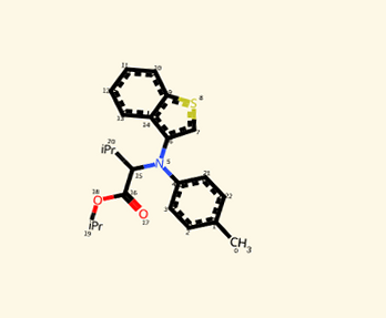 Cc1ccc(N(c2csc3ccccc23)C(C(=O)OC(C)C)C(C)C)cc1